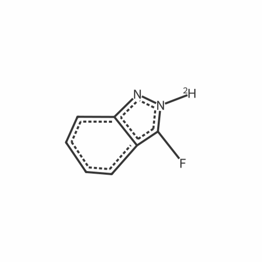 [2H]n1nc2ccccc2c1F